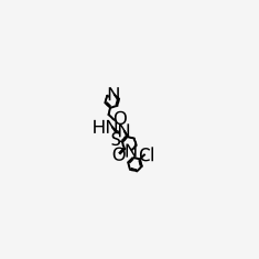 O=C(Cc1ccncc1)Nc1nc2c(s1)C(=O)N(c1ccccc1Cl)CC2